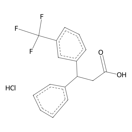 Cl.O=C(O)CC(c1ccccc1)c1cccc(C(F)(F)F)c1